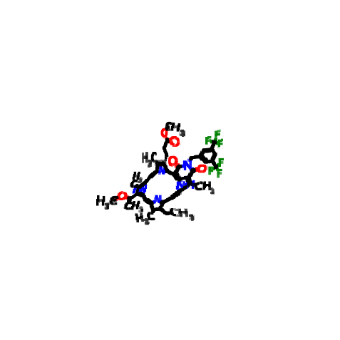 CCC1c2cc3[nH]c4c(c5nc(cc6[nH]c(cc(n2)C1C)c(C(C)OC)c6C)[C@@H](C)[C@@H]5CCC(=O)OC)C(=O)N(Cc1cc(C(F)(F)F)cc(C(F)(F)F)c1)C(=O)c4c3C